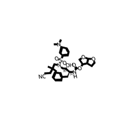 CN(C)c1cccc(S(=O)(=O)N(C[C@@H](O)[C@H](Cc2ccccc2)NC(=O)OC2COC3OCCC23)CC(C)(C)CCC#N)c1